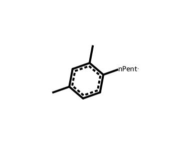 CCCC[CH]c1ccc(C)cc1C